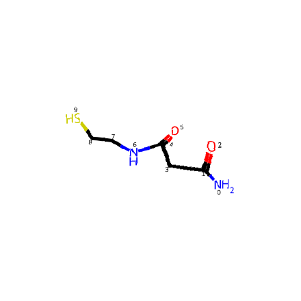 NC(=O)CC(=O)NCCS